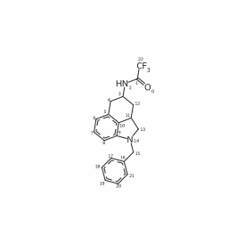 O=C(NC1Cc2cccc3c2C(C1)CN3Cc1ccccc1)C(F)(F)F